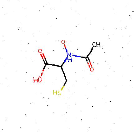 CC(=O)[NH+]([O-])C(CS)C(=O)O